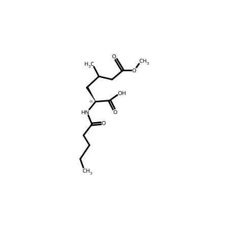 CCCCC(=O)N[C@@H](CC(C)CC(=O)OC)C(=O)O